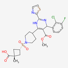 COC(=O)C1=C(C2CCN(S(=O)(=O)[C@H]3C[C@@](C)(C(=O)O)C3)CC2)NC(c2nccs2)=NC1c1cccc(F)c1Cl